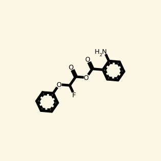 Nc1ccccc1C(=O)OC(=O)C(F)Oc1ccccc1